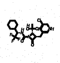 CC(O)(O)[C@@H]1[C@@H](CC2=CNCC(Cl)=C2)C(=O)N1C(=O)N[C@@H](C1CCCCC1)C(F)(F)F